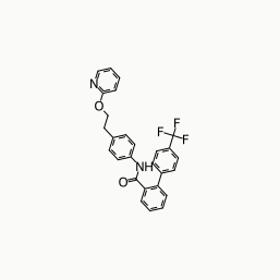 O=C(Nc1ccc(CCOc2ccccn2)cc1)c1ccccc1-c1ccc(C(F)(F)F)cc1